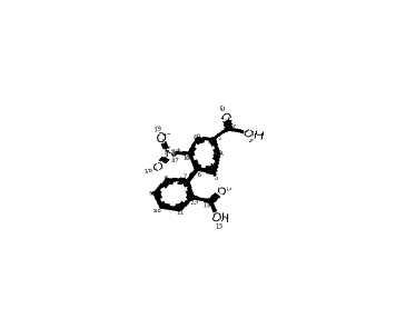 O=C(O)c1ccc(-c2ccccc2C(=O)O)c([N+](=O)[O-])c1